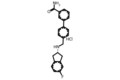 Cl.NC(=O)c1cccc(-c2ccc(CN[C@H]3Cc4ccc(F)cc4C3)cc2)c1